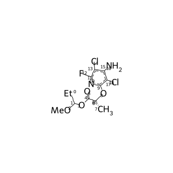 CCC(OC)OC(=O)[C@@H](C)Oc1nc(F)c(Cl)c(N)c1Cl